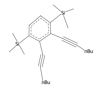 CCCCC#Cc1c([Si](C)(C)C)ccc([Si](C)(C)C)c1C#CCCCC